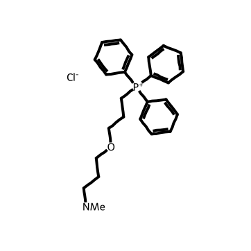 CNCCCOCCC[P+](c1ccccc1)(c1ccccc1)c1ccccc1.[Cl-]